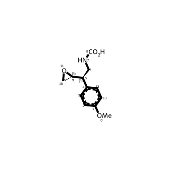 COc1ccc([C@H](CNC(=O)O)[C@@H]2CO2)cc1